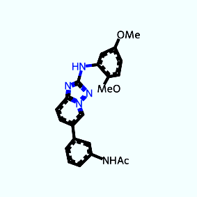 COc1ccc(OC)c(Nc2nc3ccc(-c4cccc(NC(C)=O)c4)cn3n2)c1